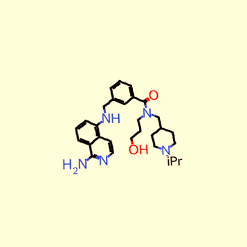 CC(C)N1CCC(CN(CCCO)C(=O)c2cccc(CNc3cccc4c(N)nccc34)c2)CC1